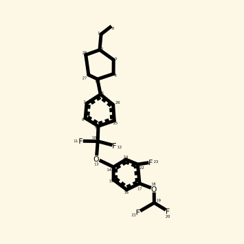 CCC1CCC(c2ccc(C(F)(F)Oc3ccc(OC(F)F)c(F)c3)cc2)CC1